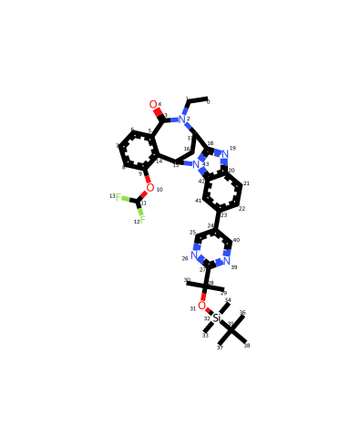 CCN1C(=O)c2cccc(OC(F)F)c2C2CC1c1nc3ccc(-c4cnc(C(C)(C)O[Si](C)(C)C(C)(C)C)nc4)cc3n12